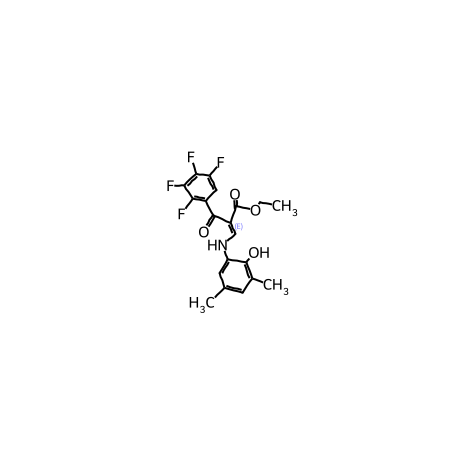 CCOC(=O)/C(=C/Nc1cc(C)cc(C)c1O)C(=O)c1cc(F)c(F)c(F)c1F